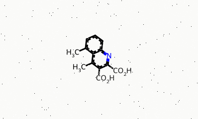 Cc1cccc2nc(C(=O)O)c(C(=O)O)c(C)c12